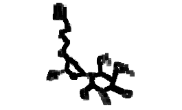 CC[C@H]1O[C@@H](N2C(=O)NC(=O)C(C)C2C)CC1OCSSC(C)(C)C